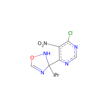 CC(C)C1(c2ncnc(Cl)c2[N+](=O)[O-])N=CON1